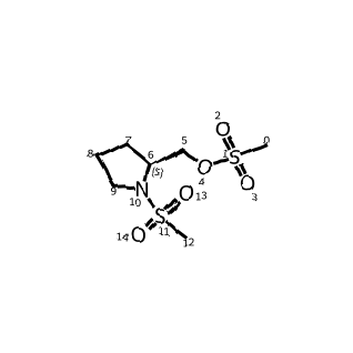 CS(=O)(=O)OC[C@@H]1CCCN1S(C)(=O)=O